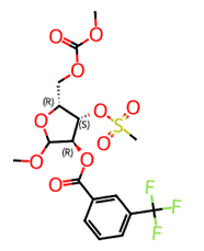 COC(=O)OC[C@H]1OC(OC)[C@H](OC(=O)c2cccc(C(F)(F)F)c2)[C@H]1OS(C)(=O)=O